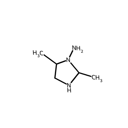 CC1CNC(C)N1N